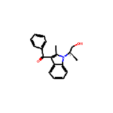 Cc1c(C(=O)c2ccccc2)c2ccccc2n1[C@H](C)CO